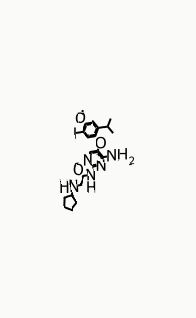 COc1cc(C(C)C)c(Oc2cnc(NC(=O)CNC3CCCC3)nc2N)cc1I